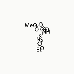 CCOc1ccc2nc(SCCNS(=O)(=O)Cc3cccc(C(=O)OC)c3)sc2c1